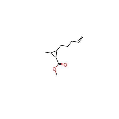 C=CCCCC1C(C)C1C(=O)OC